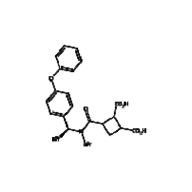 CCC[C@@H](c1ccc(Oc2ccccc2)cc1)N(CCC)C(=O)C1CC(C(=O)O)C1C(=O)O